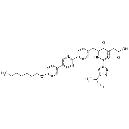 CCCCCCCOc1ccc(-c2cnc(-c3ccc(CC(NC(=O)c4cnn(C(C)C)c4)C(=O)NCC(=O)O)cc3)nc2)cc1